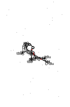 CC(C)(C)OC(=O)NCCC[C@@H](CNC(=O)C[C@H](CCCNC(=O)[C@H](CCCNC(=O)OC(C)(C)C)NC(=O)[C@@H]1Cc2cccc(c2)-c2ccc(O)c(c2)C[C@H](NC(=O)OC(C)(C)C)C(=O)N[C@@H](CCCNC(=O)OC(C)(C)C)C(=O)N1)NC(=O)OC(C)(C)C)NC(=O)OC(C)(C)C